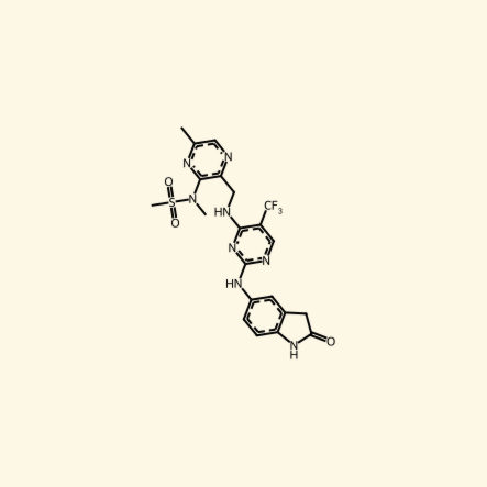 Cc1cnc(CNc2nc(Nc3ccc4c(c3)CC(=O)N4)ncc2C(F)(F)F)c(N(C)S(C)(=O)=O)n1